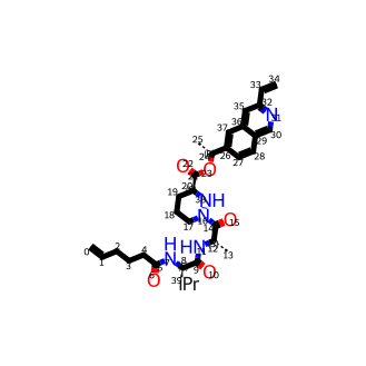 C=CCCCC(=O)N[C@H](C(=O)N[C@@H](C)C(=O)N1CCC[C@@H](C(=O)O[C@H](C)c2ccc3cnc(C=C)cc3c2)N1)C(C)C